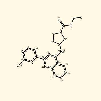 CCOC(=O)N1CCC(Nc2nc(-c3ccnc(Cl)c3)nc3cnccc23)C1